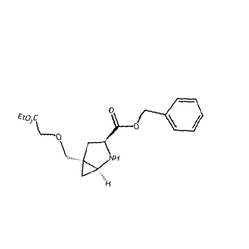 CCOC(=O)COC[C@]12C[C@@H](C(=O)OCc3ccccc3)N[C@H]1C2